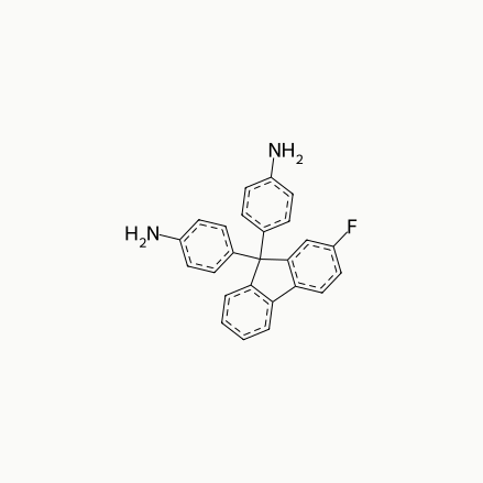 Nc1ccc(C2(c3ccc(N)cc3)c3ccccc3-c3ccc(F)cc32)cc1